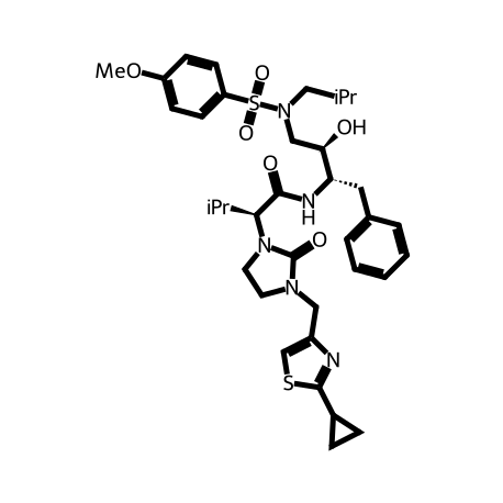 COc1ccc(S(=O)(=O)N(CC(C)C)C[C@@H](O)[C@H](Cc2ccccc2)NC(=O)[C@H](C(C)C)N2CCN(Cc3csc(C4CC4)n3)C2=O)cc1